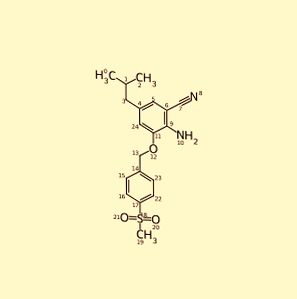 CC(C)Cc1cc(C#N)c(N)c(OCc2ccc(S(C)(=O)=O)cc2)c1